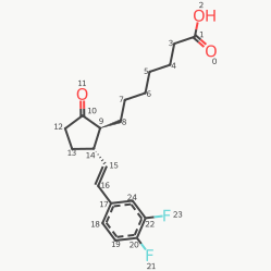 O=C(O)CCCCCC[C@@H]1C(=O)CC[C@H]1C=Cc1ccc(F)c(F)c1